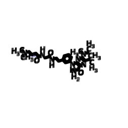 CCc1nc(C(N)=O)c(Nc2cccc(CCNC(=O)CNC(=O)/C=C/CN(C)C)c2)nc1N(C)C(C)C